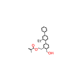 C=C(C)C(=O)OCCc1cc(-c2ccc(-c3ccccc3)cc2CC)ccc1CO